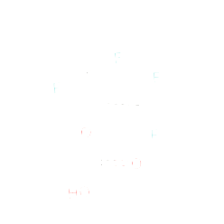 CC(F)(F)C(OC(=O)O)C(F)F